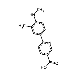 CNc1ccc(-c2ccc(C(=O)O)cn2)cc1C